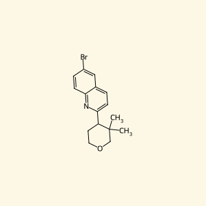 CC1(C)COCCC1c1ccc2cc(Br)ccc2n1